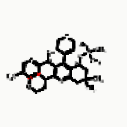 CC1(C)Cc2nc(C3CCOCC3)c([C@H](O)c3ccc(C(F)(F)F)cn3)c(C3=CCOCC3)c2[C@@H](O[Si](C)(C)C(C)(C)C)C1